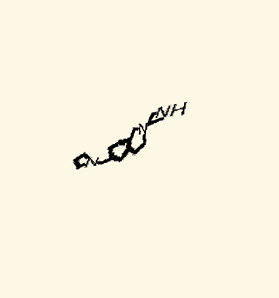 c1cc2c(cc1CN1CCC1)CCN(C1CNC1)C2